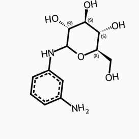 Nc1cccc(NC2O[C@H](CO)[C@@H](O)[C@H](O)[C@H]2O)c1